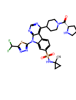 N#CC1(NS(=O)(=O)c2ccc3c4c(C5CCN(C(=O)[C@@H]6CCCN6)CC5)ncnc4n(-c4nnc(C(F)F)s4)c3c2)CC1